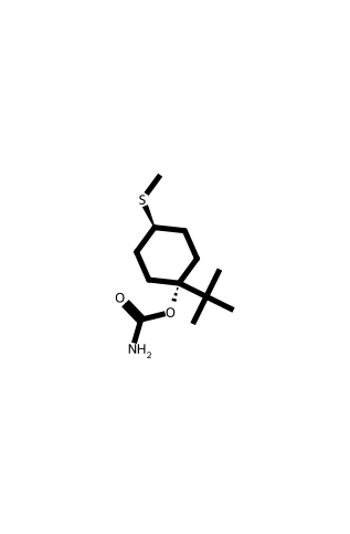 CS[C@H]1CC[C@@](OC(N)=O)(C(C)(C)C)CC1